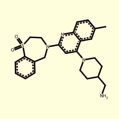 Cc1ccc2nc(N3CCS(=O)(=O)c4ccccc4C3)cc(N3CCC(CN)CC3)c2c1